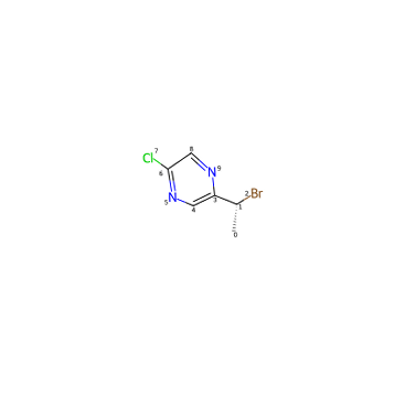 C[C@@H](Br)c1cnc(Cl)cn1